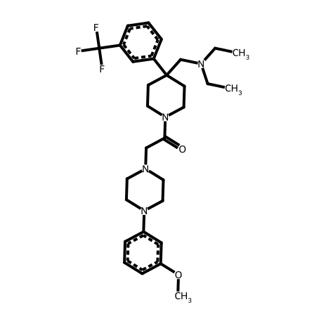 CCN(CC)CC1(c2cccc(C(F)(F)F)c2)CCN(C(=O)CN2CCN(c3cccc(OC)c3)CC2)CC1